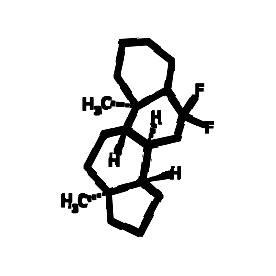 C[C@@]12CCC[C@H]1[C@@H]1CC(F)(F)C3CCCC[C@]3(C)[C@H]1CC2